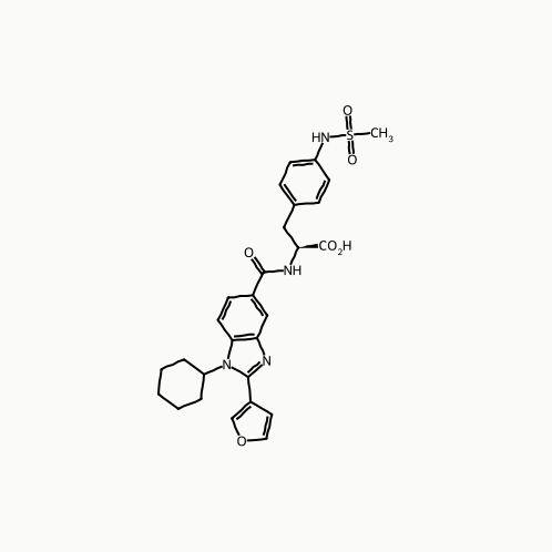 CS(=O)(=O)Nc1ccc(C[C@H](NC(=O)c2ccc3c(c2)nc(-c2ccoc2)n3C2CCCCC2)C(=O)O)cc1